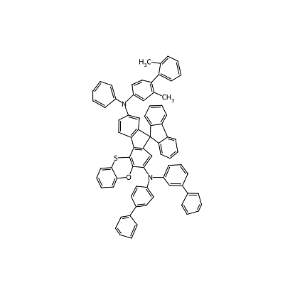 Cc1ccccc1-c1ccc(N(c2ccccc2)c2ccc3c(c2)C2(c4ccccc4-c4ccccc42)c2cc(N(c4ccc(-c5ccccc5)cc4)c4cccc(-c5ccccc5)c4)c4c(c2-3)Sc2ccccc2O4)cc1C